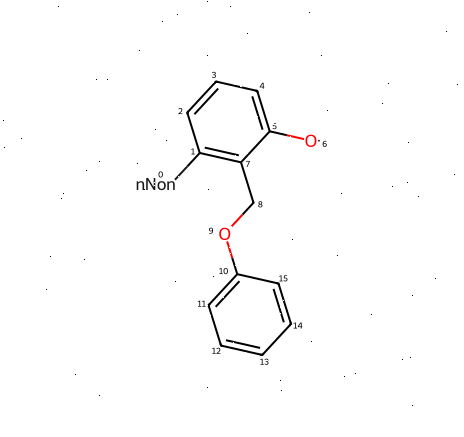 CCCCCCCCCc1cccc([O])c1COc1ccccc1